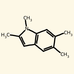 Cc1cc2cc(C)n(C)c2cc1C